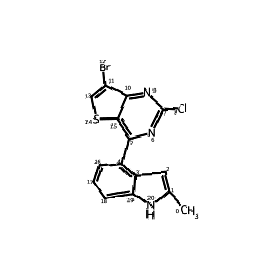 Cc1cc2c(-c3nc(Cl)nc4c(Br)csc34)cccc2[nH]1